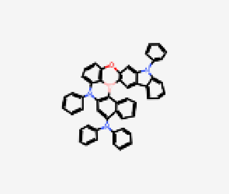 c1ccc(N2c3cccc4c3B(c3cc5c6ccccc6n(-c6ccccc6)c5cc3O4)c3c2cc(N(c2ccccc2)c2ccccc2)c2ccccc32)cc1